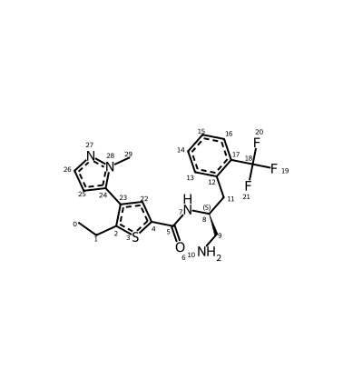 CCc1sc(C(=O)N[C@H](CN)Cc2ccccc2C(F)(F)F)cc1-c1ccnn1C